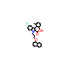 Cc1cccc(C)c1-c1c(C(=O)O)n(CCCOc2cccc3ccccc23)c2ccc(F)cc12